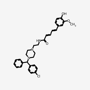 COc1cc(C=CC=CC(=O)NCCN2CCN(C(c3ccccc3)c3ccc(Cl)cc3)CC2)ccc1O